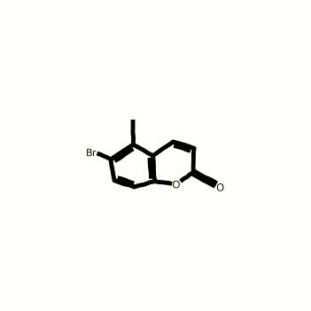 Cc1c(Br)ccc2oc(=O)ccc12